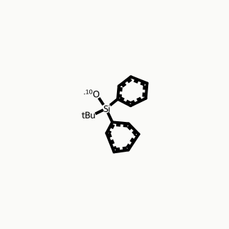 CC(C)(C)[Si]([10O])(c1ccccc1)c1ccccc1